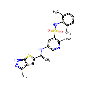 C=C(Nc1cnc(OC)c(S(=O)(=O)Nc2c(C)cccc2C)c1)c1cc2c(C)n[nH]c2s1